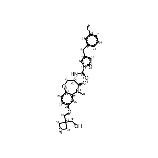 CN1C(=O)[C@@H](NC(=O)n2cc(Cc3cccc(F)c3)cn2)COc2ccc(OCC3(CO)COC3)cc21